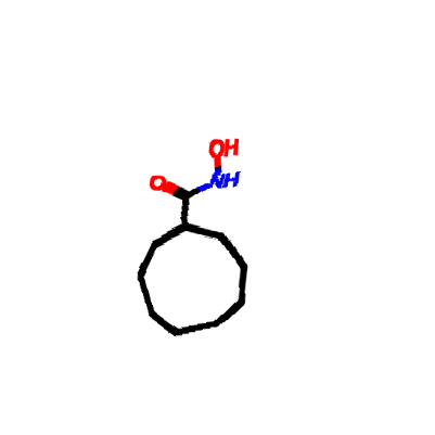 O=C(NO)C1CCCCCCCC1